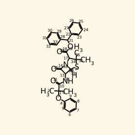 CC(C)(Oc1ccccc1)C(=O)NC1C(=O)N2C(C(=O)OC(c3ccccc3)c3ccccc3)C(C)(C)S[C@H]12